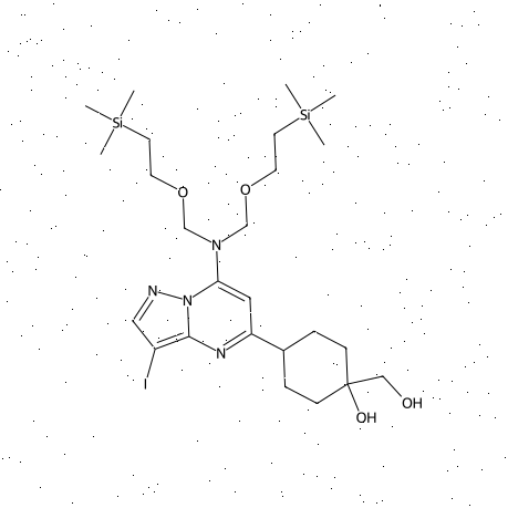 C[Si](C)(C)CCOCN(COCC[Si](C)(C)C)c1cc(C2CCC(O)(CO)CC2)nc2c(I)cnn12